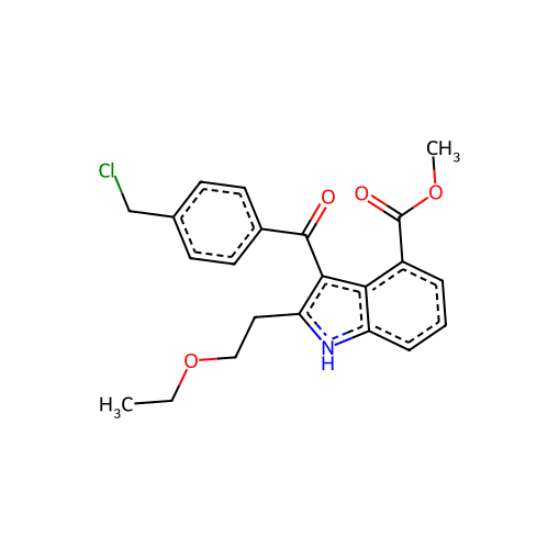 CCOCCc1[nH]c2cccc(C(=O)OC)c2c1C(=O)c1ccc(CCl)cc1